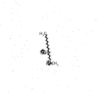 CCCCCCCCCCCCCCCCn1cncc1C.c1cn[nH]c1